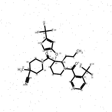 CCC[C@H]1N(C(=O)c2cnccc2C(F)(F)F)CCC[C@@]1(Oc1csc(C(F)(F)F)c1)C(=O)N1CCC(C)(C#N)CC1